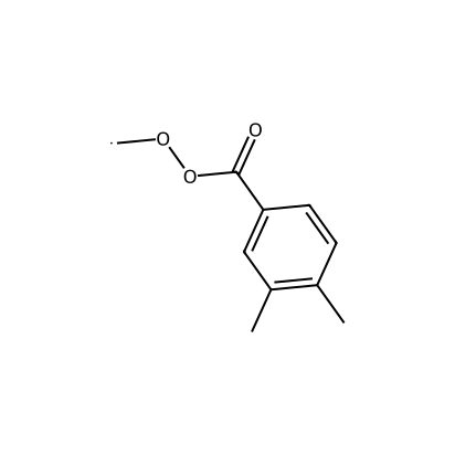 [CH2]OOC(=O)c1ccc(C)c(C)c1